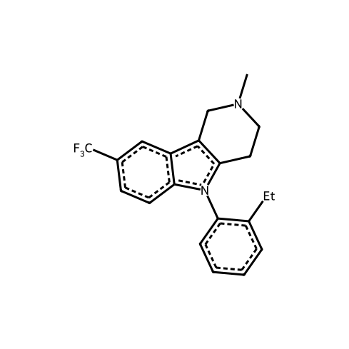 CCc1ccccc1-n1c2c(c3cc(C(F)(F)F)ccc31)CN(C)CC2